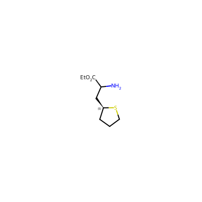 CCOC(=O)C(N)C[C@@H]1CCCS1